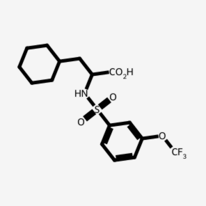 O=C(O)C(CC1CCCCC1)NS(=O)(=O)c1cccc(OC(F)(F)F)c1